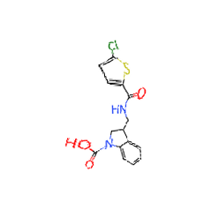 O=C(NCC1CN(C(=O)O)c2ccccc21)c1ccc(Cl)s1